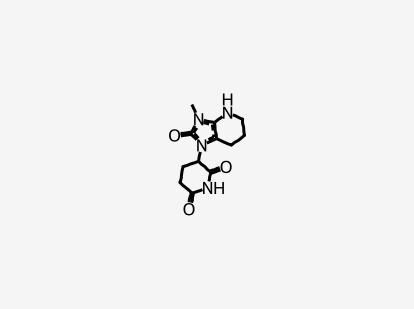 Cn1c2c(n(C3CCC(=O)NC3=O)c1=O)CCCN2